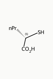 CCC[C@H](S)C(=O)O